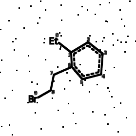 CCc1ccccc1CCBr